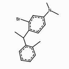 Cc1ccccc1C(C)c1ccc(N(C)C)cc1Br